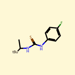 CC(NC(=S)Nc1ccc(F)cc1)C(C)(C)C